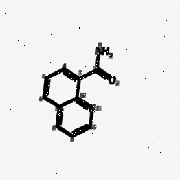 NC(=O)c1cccc2c[c]cnc12